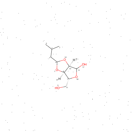 CC(C)CC1O[C@@H]2[C@@H](CO)OC(O)[C@@H]2O1